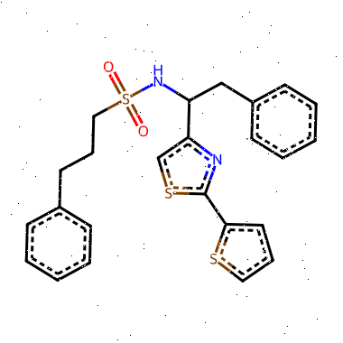 O=S(=O)(CCCc1ccccc1)NC(Cc1[c]cccc1)c1csc(-c2cccs2)n1